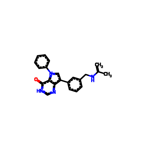 C=C(C)NCc1cccc(-c2cn(-c3ccccc3)c3c(=O)[nH]cnc23)c1